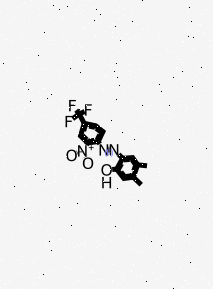 Cc1cc(O)c(/N=N/c2ccc(C(F)(F)F)cc2[N+](=O)[O-])cc1C